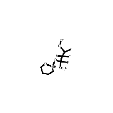 CCOC(F)C(F)(F)C(F)(O[SiH]1CCCCO1)S(=O)(=O)O